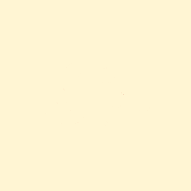 CC1(C)c2ccc(-c3cccc(-c4cc(-c5ccccc5)nc(-c5ccccc5)c4)c3)cc2-c2c1ccc1c2oc2ccccc21